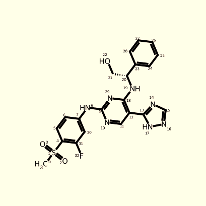 CS(=O)(=O)c1ccc(Nc2ncc(-c3ncn[nH]3)c(N[C@H](CO)c3ccccc3)n2)cc1F